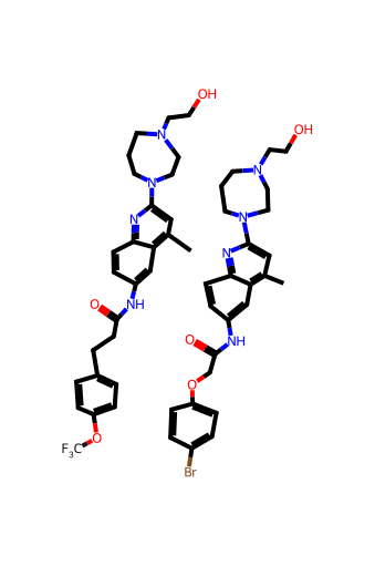 Cc1cc(N2CCCN(CCO)CC2)nc2ccc(NC(=O)CCc3ccc(OC(F)(F)F)cc3)cc12.Cc1cc(N2CCCN(CCO)CC2)nc2ccc(NC(=O)COc3ccc(Br)cc3)cc12